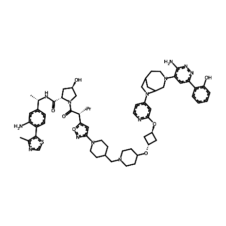 Cc1ncsc1-c1ccc([C@H](C)NC(=O)[C@@H]2C[C@@H](O)CN2C(=O)[C@@H](c2cc(N3CCC(CN4CCC(O[C@H]5C[C@H](Oc6cc(N7CC8CCN(c9cc(-c%10ccccc%10O)nnc9N)CC7C8)ccn6)C5)CC4)CC3)no2)C(C)C)cc1N